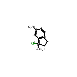 O=C(O)C1(Cl)CCc2ccc([N+](=O)[O-])cc21